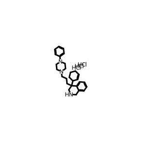 C1=CC(C2(CCCN3CCN(c4ccccc4)CC3)CNCc3ccccc32)CCC1.Cl.Cl.Cl